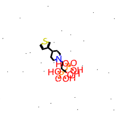 O=P(O)(O)C(O)(CCN1CCC(c2ccsc2)CC1)P(=O)(O)O